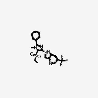 CCS(=O)(=O)c1c(-n2cc3ncc(C(F)(F)F)cc3n2)nc(-c2ccccc2)n1C